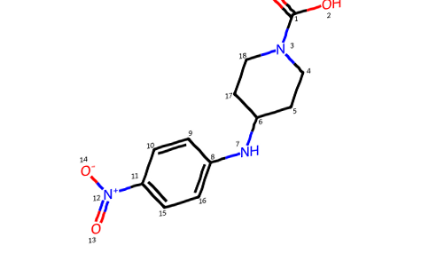 O=C(O)N1CCC(Nc2ccc([N+](=O)[O-])cc2)CC1